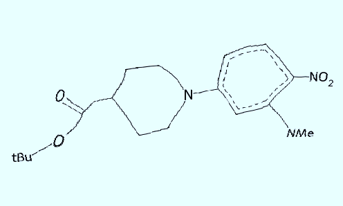 CNc1cc(N2CCC(C(=O)OC(C)(C)C)CC2)ccc1[N+](=O)[O-]